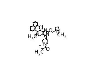 C=C(F)C(=O)N1CCN(c2nc(OCC3CCCN3C)nc3c2CN(C)C(c2cccc4cccc(Cl)c24)C3)CC1